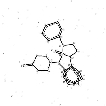 O=C1CCN(C(c2ccncc2)P2(=O)N(c3ccccc3)CCN2c2ccccc2)CC1